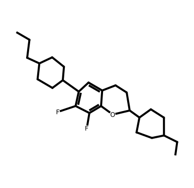 CCCC1CCC(c2cc3c(c(F)c2F)OC(C2CCC(CC)CC2)CC3)CC1